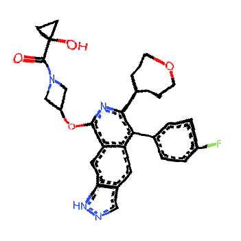 O=C(N1CC(Oc2nc(C3CCOCC3)c(-c3ccc(F)cc3)c3cc4cn[nH]c4cc23)C1)C1(O)CC1